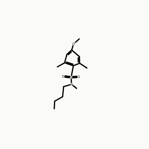 CCCCN(C)S(=O)(=O)c1c(C)cc(OC)cc1C